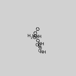 Nc1ccc(-c2ccccc2)cc1NC(=O)c1ccc(NC(=O)N2CCC3(CCCNC3)C2)cc1